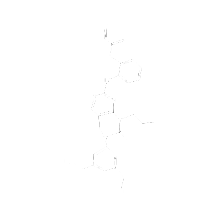 C=CC(=O)Cc1ccccc1Nc1ncc2c(n1)N(CCF)C(=O)N(c1cc(OC)cc(OC)c1)C2